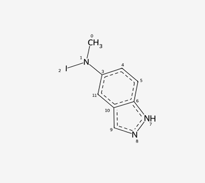 CN(I)c1ccc2[nH]ncc2c1